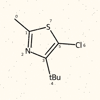 Cc1nc(C(C)(C)C)c(Cl)s1